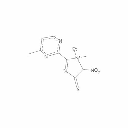 CC[N+]1(C)C(c2nccc(C)n2)=NC(=S)C1[N+](=O)[O-]